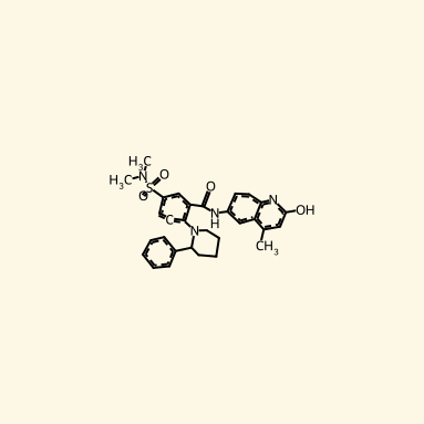 Cc1cc(O)nc2ccc(NC(=O)c3cc(S(=O)(=O)N(C)C)ccc3N3CCCCC3c3ccccc3)cc12